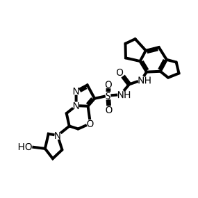 O=C(Nc1c2c(cc3c1CCC3)CCC2)NS(=O)(=O)c1cnn2c1OCC(N1CCC(O)C1)C2